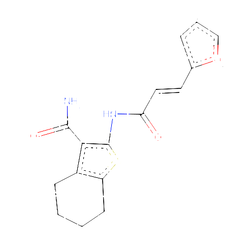 NC(=O)c1c(NC(=O)C=Cc2ccco2)sc2c1CCCC2